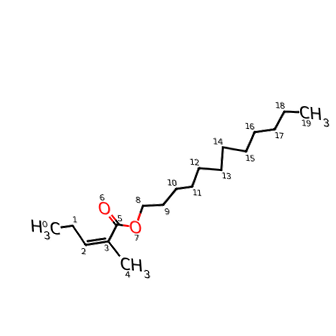 CCC=C(C)C(=O)OCCCCCCCCCCCC